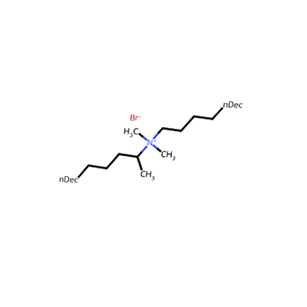 CCCCCCCCCCCCCC[N+](C)(C)C(C)CCCCCCCCCCCCC.[Br-]